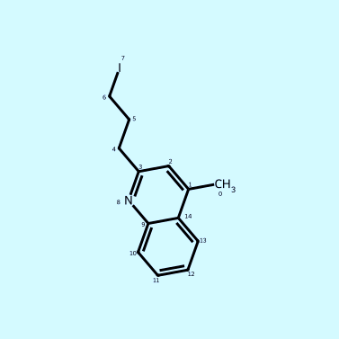 Cc1cc(CCCI)nc2ccccc12